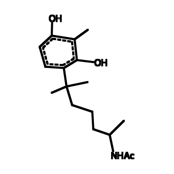 CC(=O)NC(C)CCCC(C)(C)c1ccc(O)c(C)c1O